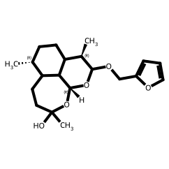 C[C@H]1C(OCc2ccco2)O[C@@H]2OC(C)(O)CCC3C2C1CC[C@H]3C